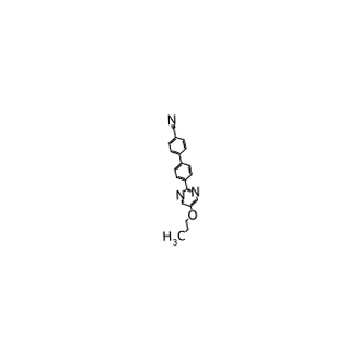 CCCOc1cnc(-c2ccc(-c3ccc(C#N)cc3)cc2)nc1